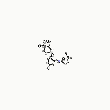 C=C(/N=C/c1cc(Cl)ccc1Oc1ccc(C(=O)OC)cc1)O[Si](C)(C)C